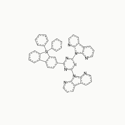 c1ccc([Si]2(c3ccccc3)c3ccccc3-c3ccc(-c4nc(-n5c6ncccc6c6cccnc65)nc(-n5c6ncccc6c6cccnc65)n4)cc32)cc1